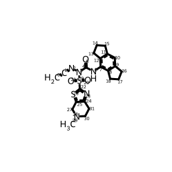 C=C=NN(C(=O)Nc1c2c(cc3c1CCC3)CCC2)S(=O)(=O)c1nc2c(s1)CN(C)CC2